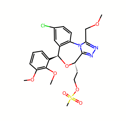 COCc1nnc2n1-c1ccc(Cl)cc1[C@H](c1cccc(OC)c1OC)O[C@H]2CCOS(C)(=O)=O